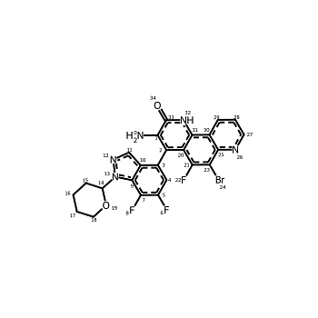 Nc1c(-c2cc(F)c(F)c3c2cnn3C2CCCCO2)c2c(F)c(Br)c3ncccc3c2[nH]c1=O